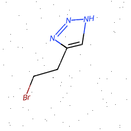 BrCCc1c[nH]nn1